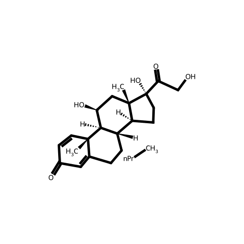 CCCC.C[C@]12C=CC(=O)C=C1CC[C@@H]1[C@@H]2[C@@H](O)C[C@@]2(C)[C@H]1CC[C@]2(O)C(=O)CO